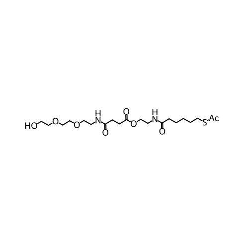 CC(=O)SCCCCCC(=O)NCCOC(=O)CCC(=O)NCCOCCOCCO